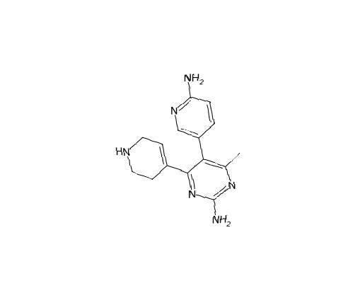 Cc1nc(N)nc(C2=CCNCC2)c1-c1ccc(N)nc1